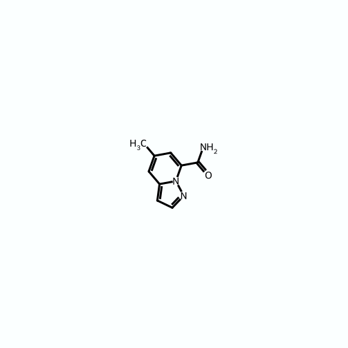 Cc1cc(C(N)=O)n2nccc2c1